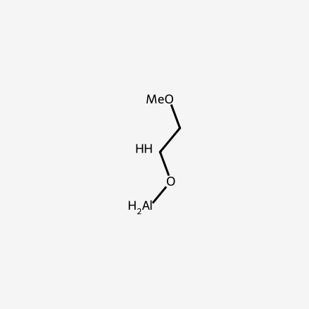 COCC[O][AlH2].[HH]